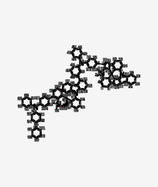 C[Si]1(C)c2ccccc2C2(c3ccccc3-n3c4ccccc4c4cccc2c43)c2cccc(-c3ccc(N(c4ccccc4)c4cccc(-c5cccc6c5c5cccc7c5n6-c5ccccc5C75c6ccccc6[Si](C)(C)c6c(-c7ccc(N(c8ccccc8)c8ccc(-c9ccccc9)cc8)cc7)cccc65)c4)cc3)c21